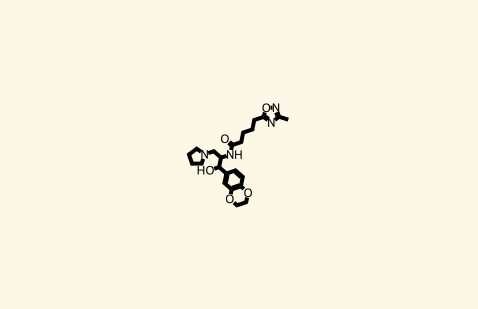 Cc1noc(CCCCC(=O)NC(CN2CCCC2)C(O)c2ccc3c(c2)OCCO3)n1